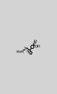 CCOCC1(COCC)CCC(c2c(CN(C)CCNC)nn3c2CCC3)CC1